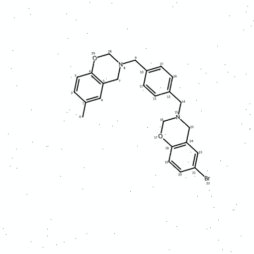 Cc1ccc2c(c1)CN(Cc1ccc(CN3COc4ccc(Br)cc4C3)cc1)CO2